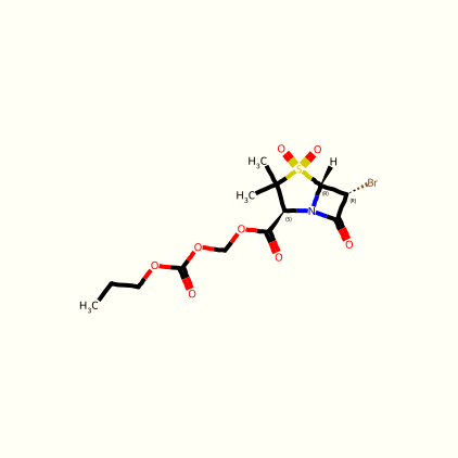 CCCOC(=O)OCOC(=O)[C@@H]1N2C(=O)[C@@H](Br)[C@H]2S(=O)(=O)C1(C)C